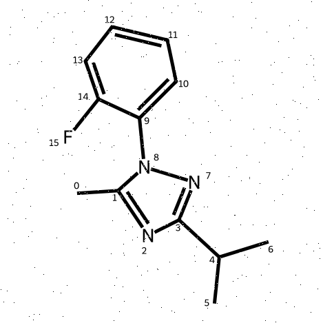 Cc1nc(C(C)C)nn1-c1ccccc1F